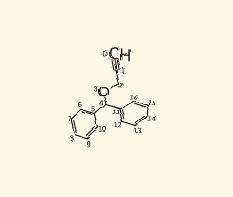 C#CCOC(c1ccccc1)c1ccccc1